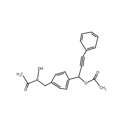 CC(=O)OC(C#Cc1ccccc1)c1ccc(CN(O)C(C)=O)cc1